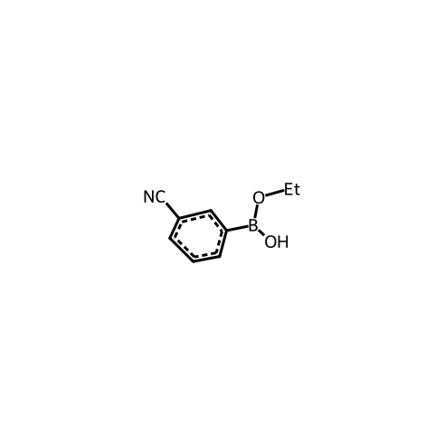 CCOB(O)c1cccc(C#N)c1